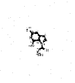 CC(C)(C)OC(=O)n1ccc2cc(Br)nc(Br)c21